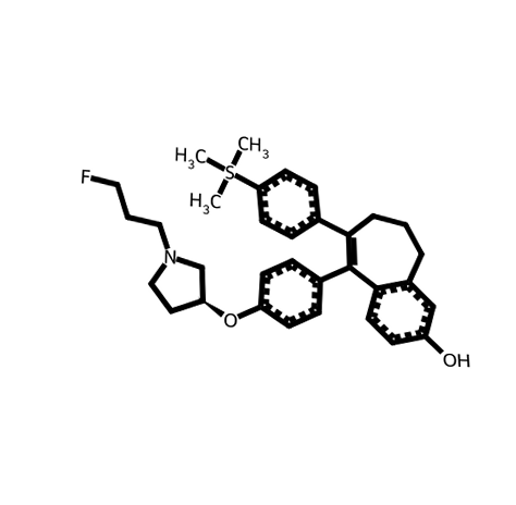 CS(C)(C)c1ccc(C2=C(c3ccc(O[C@H]4CCN(CCCF)C4)cc3)c3ccc(O)cc3CCC2)cc1